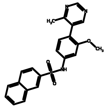 COc1cc(NS(=O)(=O)c2ccc3ccccc3c2)ccc1-c1cncnc1C